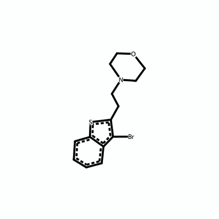 Brc1c(CCN2CCOCC2)sc2ccccc12